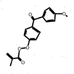 C=C(C)C(=O)OOc1ccc(C(=O)c2ccc(OC)cc2)cc1